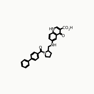 O=C(O)c1c[nH]c2ccc(NCC3CCCN3C(=O)c3ccc(-c4ccccc4)cc3)cc2c1=O